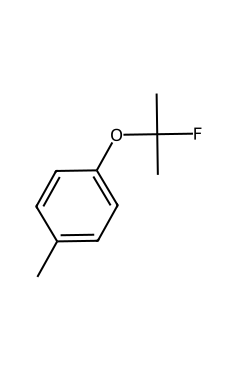 Cc1ccc(OC(C)(C)F)cc1